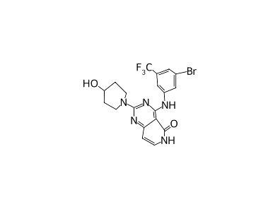 O=c1[nH]ccc2nc(N3CCC(O)CC3)nc(Nc3cc(Br)cc(C(F)(F)F)c3)c12